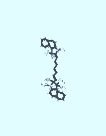 BC1(/C=C/C=C/C=C/C=C2/N(C)c3ccc4ccccc4c3C2(C)C)N(C)c2ccc3ccccc3c2C1(C)C